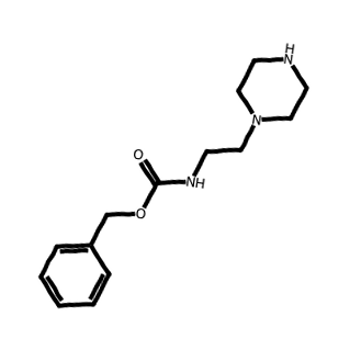 O=C(NCCN1CCNCC1)OCc1ccccc1